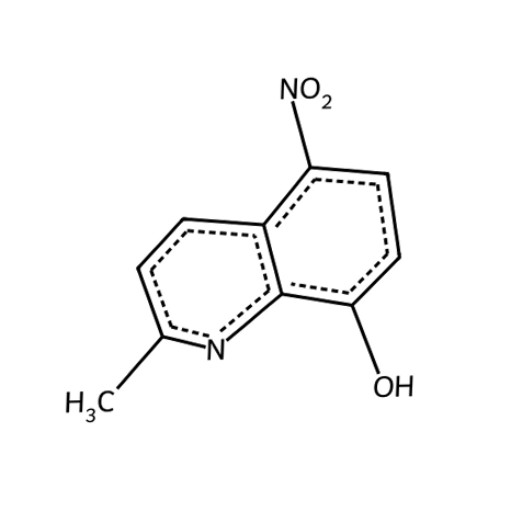 Cc1ccc2c([N+](=O)[O-])ccc(O)c2n1